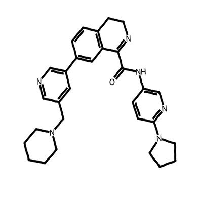 O=C(Nc1ccc(N2CCCC2)nc1)C1=NCCc2ccc(-c3cncc(CN4CCCCC4)c3)cc21